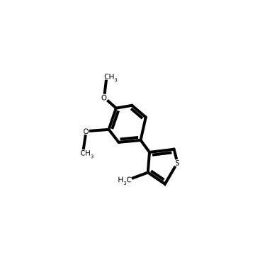 COc1ccc(-c2cs[c]c2C)cc1OC